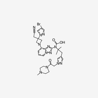 CN1CCN(C(=O)Cn2cc(CC(C)(C)N(C(=O)O)c3nc4c(N5CC(CC#N)(n6cc(Br)cn6)C5)cccn4n3)cn2)CC1